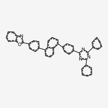 c1ccc(-c2nc(-c3ccccc3)nc(-c3ccc(-c4cccc5c(-c6ccc(-c7nc8ccccc8o7)cc6)cccc45)cc3)n2)cc1